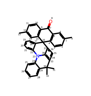 Cc1ccc2c(c1)C(=O)c1ccc(C)cc1C21c2ccccc2N2c3ccccc3C(C)(C)c3cccc1c32